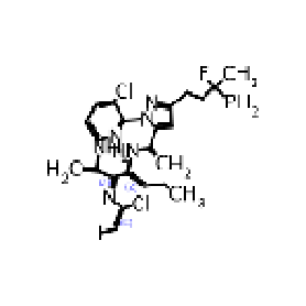 C=C(N)C(=N/C(Cl)=C\I)/C(=C/CC)NC(=C)c1cc(CCC(C)(F)P)nn1-c1ncccc1Cl